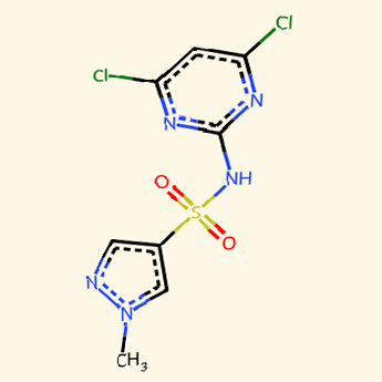 Cn1cc(S(=O)(=O)Nc2nc(Cl)cc(Cl)n2)cn1